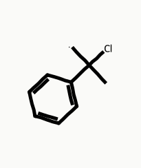 [CH2]C(C)(Cl)c1ccccc1